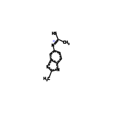 C/C(S)=N\c1ccc2nc(C)sc2c1